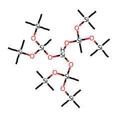 C[Si](C)(C)O[Si](C)(O[SiH](O[Si](C)(O[Si](C)(C)C)O[Si](C)(C)C)O[Si](C)(O[Si](C)(C)C)O[Si](C)(C)C)O[Si](C)(C)C